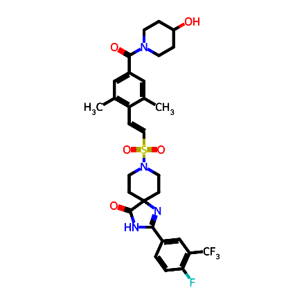 Cc1cc(C(=O)N2CCC(O)CC2)cc(C)c1/C=C/S(=O)(=O)N1CCC2(CC1)N=C(c1ccc(F)c(C(F)(F)F)c1)NC2=O